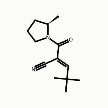 [CH2][C@@H]1CCCN1C(=O)C(C#N)=CC(C)(C)C